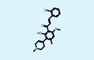 COc1cc(C)c(C2=CCN(C)CC2)c(O)c1C(=O)/C=C/c1ccccc1Cl